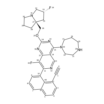 C#Cc1cccc2cccc(-c3ncc4c(N5CCCNCC5)nc(OC[C@@]56CCCN5C[C@H](F)C6)nc4c3F)c12